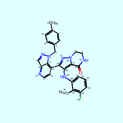 COc1ccc(Cn2ncc3nccc(-c4nn5c(c4Nc4cccc(F)c4OC)C(=O)NCC5)c32)cc1